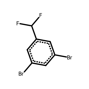 FC(F)c1cc(Br)cc(Br)c1